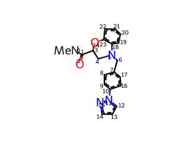 CNC(=O)C1CN(Cc2ccc(-n3cccn3)cc2)c2ccccc2O1